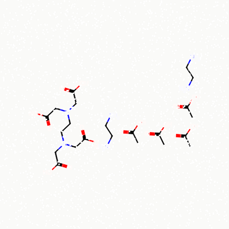 CC(=O)O.CC(=O)O.CC(=O)O.CC(=O)O.NCCN.NCCN.O=C(O)CN(CCN(CC(=O)O)CC(=O)O)CC(=O)O